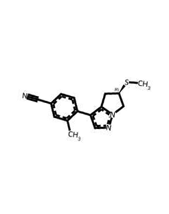 CS[C@@H]1Cc2c(-c3ccc(C#N)cc3C)cnn2C1